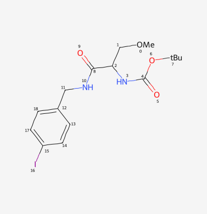 COCC(NC(=O)OC(C)(C)C)C(=O)NCc1ccc(I)cc1